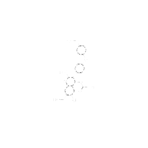 Cc1nc2cc(CO)c(Cl)cc2c(OC(=O)C(C)(C)C)c1-c1ccc(Oc2ccc(OC(F)(F)F)cc2)cc1